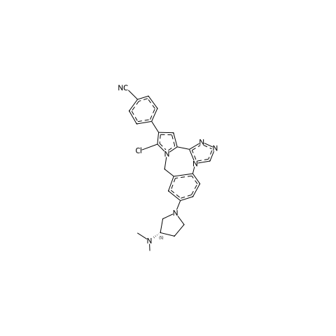 CN(C)[C@H]1CCN(c2ccc3c(c2)Cn2c(cc(-c4ccc(C#N)cc4)c2Cl)-c2nncn2-3)C1